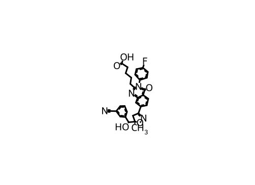 C[C@@]1([C@H](O)c2cccc(C#N)c2)CC(c2ccc3c(=O)n(-c4ccc(F)cc4)c(CCCCC(=O)O)nc3c2)=NO1